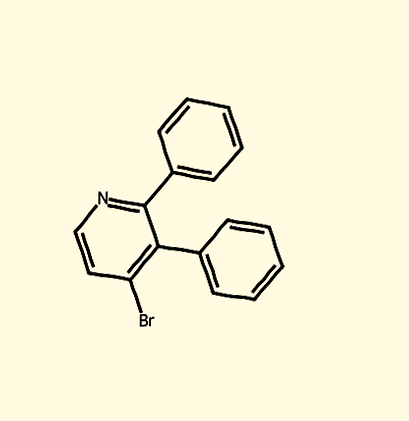 Brc1ccnc(-c2ccccc2)c1-c1ccccc1